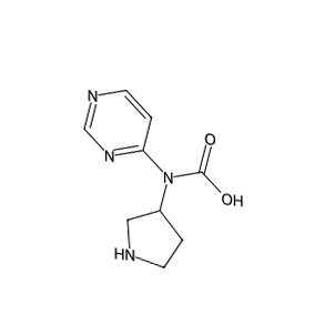 O=C(O)N(c1ccncn1)C1CCNC1